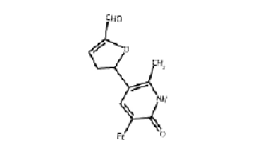 CCc1cc(C2CC=C(C=O)O2)c(C)[nH]c1=O